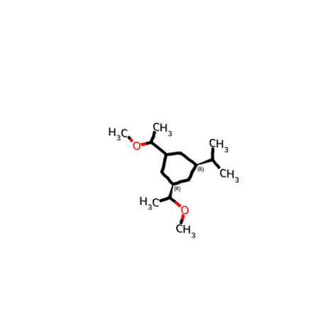 COC(C)C1C[C@@H](C(C)C)C[C@@H](C(C)OC)C1